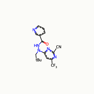 CC(C)(C)CN(NC(=O)c1cccnc1)c1cc(C(F)(F)F)nc(C#N)n1